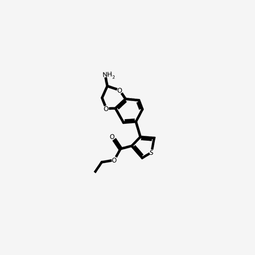 CCOC(=O)c1cscc1-c1ccc2c(c1)OCC(N)O2